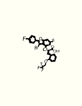 O=C(O)C(Cc1ccccc1OCC(F)(F)F)Oc1cc(F)cc2oc(-c3ccc(F)cc3)c(Br)c12